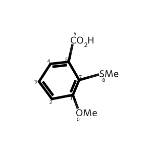 COc1cccc(C(=O)O)c1SC